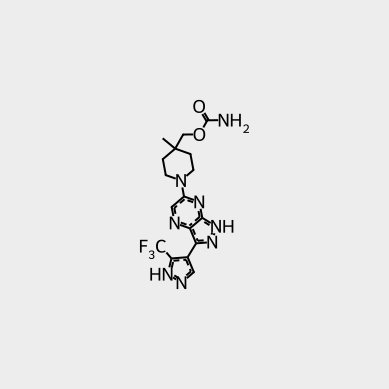 CC1(COC(N)=O)CCN(c2cnc3c(-c4cn[nH]c4C(F)(F)F)n[nH]c3n2)CC1